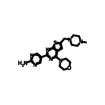 CN1CCN(Cc2cc3c(N4CCOCC4)nc(-c4cnc(N)nc4)nc3s2)CC1